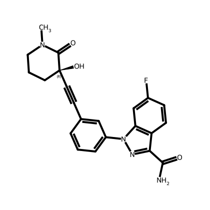 CN1CCC[C@@](O)(C#Cc2cccc(-n3nc(C(N)=O)c4ccc(F)cc43)c2)C1=O